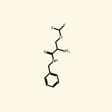 NC(COC(F)F)C(=O)NCc1ccccc1